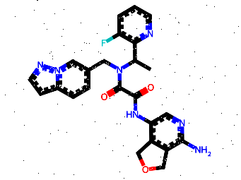 CC(c1ncccc1F)N(Cc1ccc2ccnn2c1)C(=O)C(=O)Nc1cnc(N)c2c1COC2